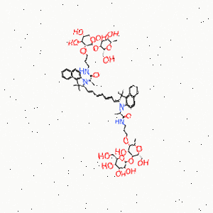 CC1O[C@H](CO)[C@@H](OC2O[C@H](CO)[C@@H](O)[C@H](O)[C@H]2O)[C@H](O)[C@H]1OCCCNC(=O)C(C)N1/C(=C/C=C/C=C/C=C/C2=[N+](C(C)C(=O)NCCCO[C@H]3[C@@H](O[C@H]4[C@H](O)[C@@H](O)[C@@H](C)O[C@@H]4CO)OC[C@@H](O)[C@@H]3O)c3ccc4ccccc4c3C2(C)C)C(C)(C)c2c1ccc1c2C=CCC1